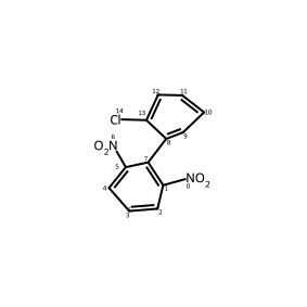 O=[N+]([O-])c1c[c]cc([N+](=O)[O-])c1-c1ccccc1Cl